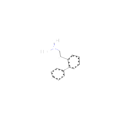 CN(C)CCc1ccccc1-c1ccccc1